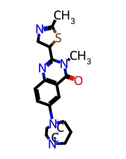 CC1=NCC(c2nc3ccc(N4CCN5CCC4CC5)cc3c(=O)n2C)S1